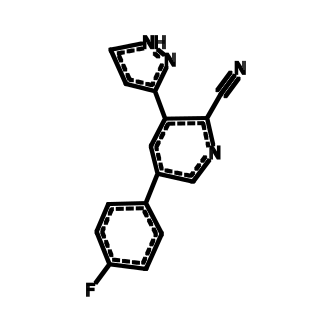 N#Cc1ncc(-c2ccc(F)cc2)cc1-c1cc[nH]n1